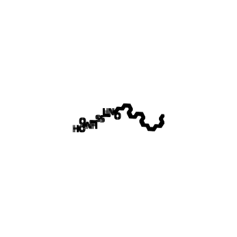 CC/C=C\C/C=C\C/C=C\C/C=C\C/C=C\C/C=C\CCC(=O)NCCSSCCNC(=O)O